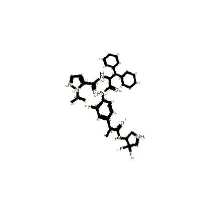 CC(C(=O)NC1CNCC1(F)F)c1ccc(NC(=O)C(NC(=O)c2ccnn2C(C)C)C(C2CCCCC2)C2CCCCC2)c(F)c1